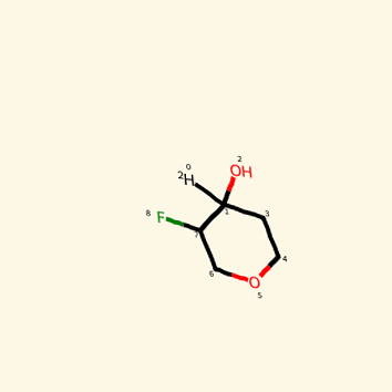 [2H]C1(O)CCOCC1F